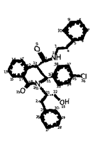 O=C(NCCc1ccccc1)[C@@H]1c2ccccc2C(=O)N([C@H](CO)Cc2ccccc2)[C@H]1c1ccc(Cl)cc1